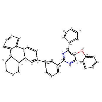 C1=CC2c3ccccc3C3CCCCC3C2C=C1c1cccc(-c2nc(-c3ccccc3)c3oc4ccccc4c3n2)c1